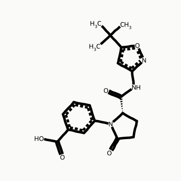 CC(C)(C)c1cc(NC(=O)[C@@H]2CCC(=O)N2c2cccc(C(=O)O)c2)no1